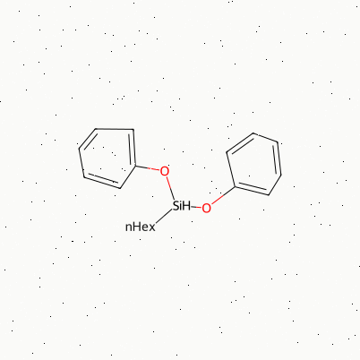 CCCCCC[SiH](Oc1ccccc1)Oc1ccccc1